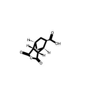 O=C1OC(=O)[C@H]2[C@@H]1[C@H]1O[C@@H]2C[C@H]1C(=O)O